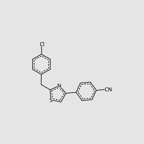 N#Cc1ccc(-c2csc(Cc3ccc(Cl)cc3)n2)cc1